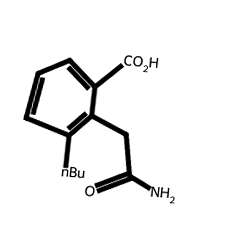 CCCCc1cccc(C(=O)O)c1CC(N)=O